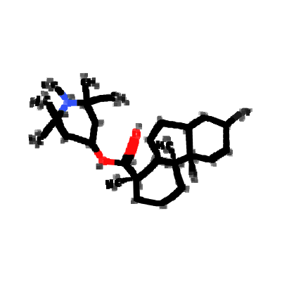 CC(C)C1CC[C@H]2C(CCC3[C@](C)(C(=O)OC4CC(C)(C)N(C)C(C)(C)C4)CCC[C@@]32C)C1